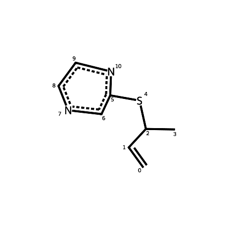 C=CC(C)Sc1cnccn1